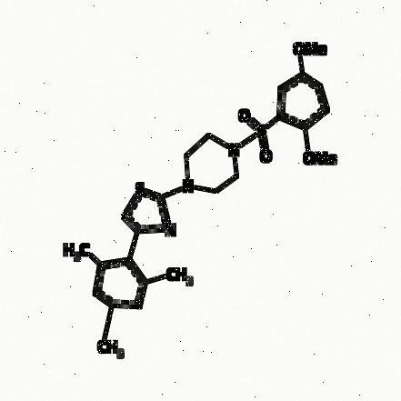 COc1ccc(OC)c(S(=O)(=O)N2CCN(c3nc(-c4c(C)cc(C)cc4C)cs3)CC2)c1